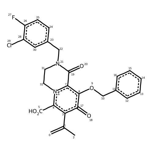 C=C(C)c1c(C(=O)O)n2c(c(OCc3ccccc3)c1=O)C(=O)N(Cc1ccc(F)c(Cl)c1)CC2